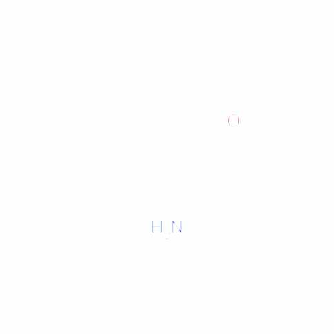 CC[C@H](N)C(=O)c1ccccc1